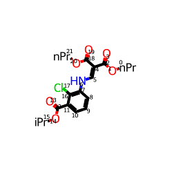 CCCOC(=O)C(=CNc1cccc(C(=O)OC(C)C)c1Cl)C(=O)OCCC